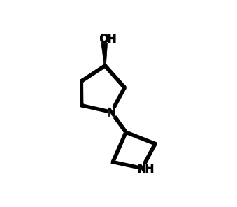 O[C@@H]1CCN(C2CNC2)C1